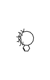 CN1C2C=CCCC2CCCCCCC(C)(C)N(C)N(C)N1C